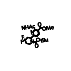 COC(=O)c1ccc(C2CC(F)(F)CCN2C(=O)OC(C)(C)C)nc1NC(C)=O